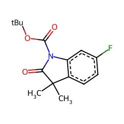 CC(C)(C)OC(=O)N1C(=O)C(C)(C)c2ccc(F)cc21